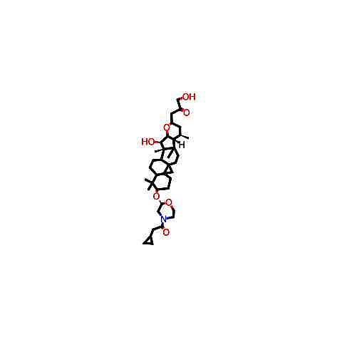 C[C@@H]1CC(CC(=O)CO)OC2[C@H]1C1(C)CCC34CC35CCC(O[C@H]3CN(C(=O)CC6CC6)CCO3)C(C)(C)C5CCC4[C@]1(C)[C@H]2O